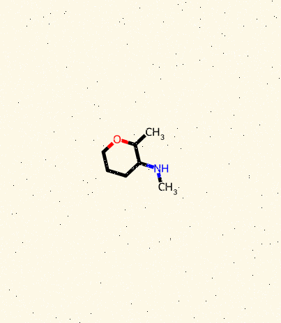 CNC1CCCOC1C